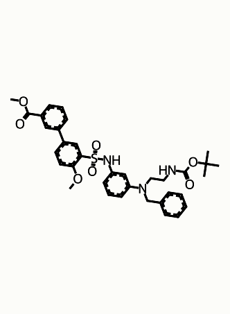 COC(=O)c1cccc(-c2ccc(OC)c(S(=O)(=O)Nc3cccc(N(CCNC(=O)OC(C)(C)C)Cc4ccccc4)c3)c2)c1